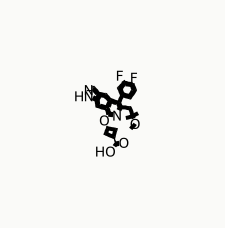 COC(C)(C)Cc1nc(O[C@H]2C[C@H](C(=O)O)C2)c2cc3[nH]ncc3cc2c1-c1ccc(F)c(F)c1